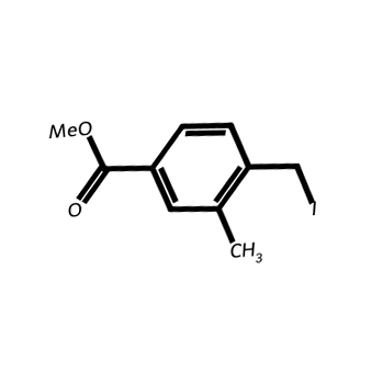 COC(=O)c1ccc(CI)c(C)c1